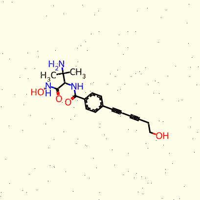 CC(C)(N)C(NC(=O)c1ccc(C#CC#CCCO)cc1)C(=O)NO